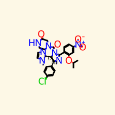 CC(C)Oc1cc([N+](=O)[O-])ccc1C1=N[C@@H](c2ccc(Cl)cc2)[C@@H](c2nccn2C)N1C(=O)N1CCNC(=O)C1